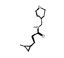 CC1CC1/C=C/C(=O)NCC1CCOCC1